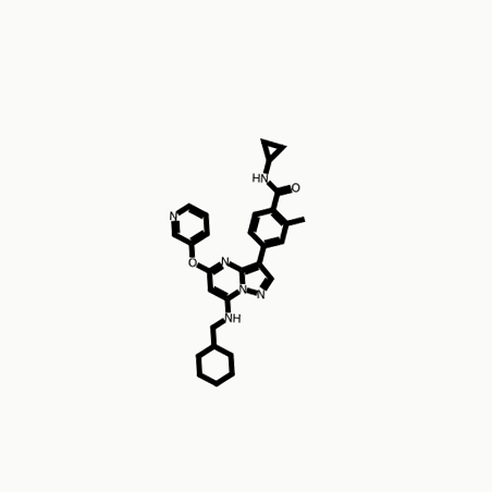 Cc1cc(-c2cnn3c(NCC4CCCCC4)cc(Oc4cccnc4)nc23)ccc1C(=O)NC1CC1